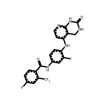 O=C1NCc2c(Nc3ccc(NC(=O)c4ccc(F)cc4C(F)(F)F)cc3F)ccnc2N1